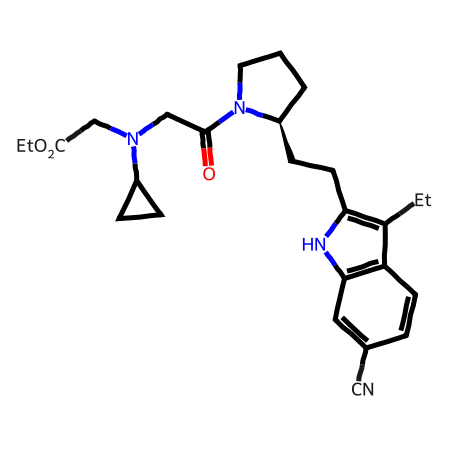 CCOC(=O)CN(CC(=O)N1CCC[C@H]1CCc1[nH]c2cc(C#N)ccc2c1CC)C1CC1